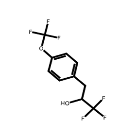 OC(Cc1ccc(OC(F)(F)F)cc1)C(F)(F)F